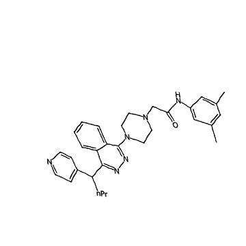 CCCC(c1ccncc1)c1nnc(N2CCN(CC(=O)Nc3cc(C)cc(C)c3)CC2)c2ccccc12